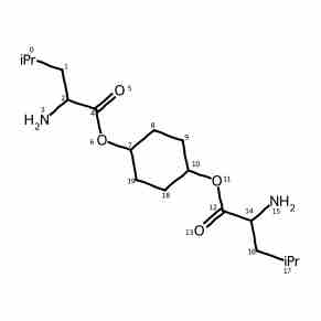 CC(C)CC(N)C(=O)OC1CCC(OC(=O)C(N)CC(C)C)CC1